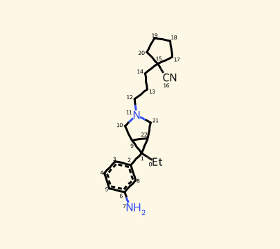 CCC1(c2cccc(N)c2)C2CN(CCCC3(C#N)CCCC3)CC21